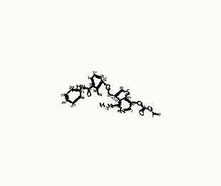 CCOC(=O)Oc1cnc(N)c2c(COc3cccc(C(=O)Nc4ccccc4)c3C)csc12